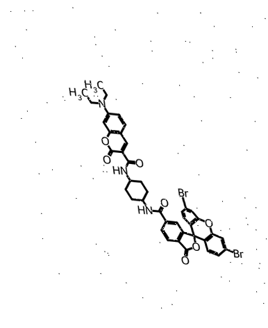 CCN(CC)c1ccc2cc(C(=O)NC3CCC(NC(=O)c4ccc5c(c4)C4(OC5=O)c5ccc(Br)cc5Oc5cc(Br)ccc54)CC3)c(=O)oc2c1